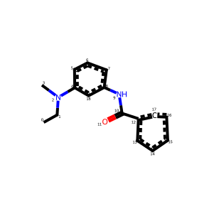 CCN(C)c1cccc(NC(=O)c2ccccc2)c1